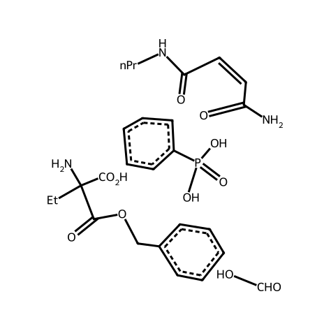 CCC(N)(C(=O)O)C(=O)OCc1ccccc1.CCCNC(=O)/C=C\C(N)=O.O=CO.O=P(O)(O)c1ccccc1